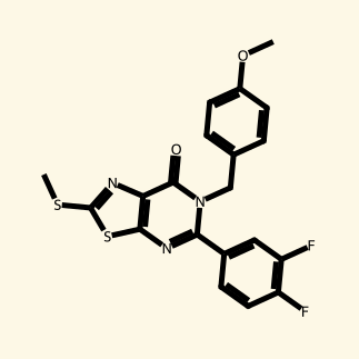 COc1ccc(Cn2c(-c3ccc(F)c(F)c3)nc3sc(SC)nc3c2=O)cc1